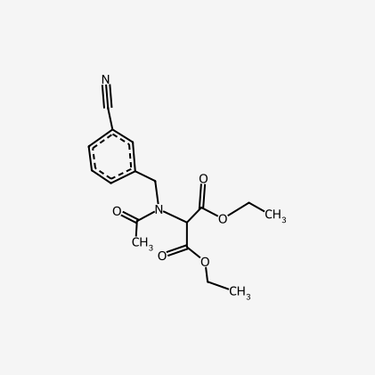 CCOC(=O)C(C(=O)OCC)N(Cc1cccc(C#N)c1)C(C)=O